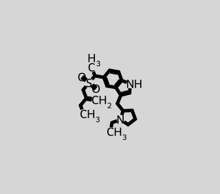 C=C(CC)CS(=O)(=O)C(C)c1ccc2[nH]cc(CC3CCCN3CC)c2c1